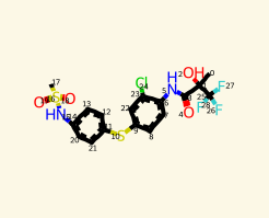 CC(O)(C(=O)Nc1ccc(Sc2ccc(NS(C)(=O)=O)cc2)cc1Cl)C(F)(F)F